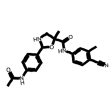 CC(=O)Nc1ccc(C2NCC(C)(C(=O)Nc3ccc(C#N)c(C)c3)O2)cc1